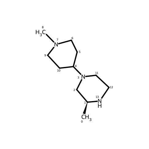 C[C@H]1CN(C2CCN(C)CC2)CCN1